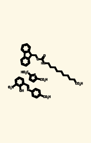 O=C(O)CCCCCCCCCNC(=O)OCC1c2ccccc2-c2ccccc21.O=C(O)c1ccc(C(=O)O)s1.O=C(O)c1ccc(N=Cc2cccc([N+](=O)[O-])c2O)cc1